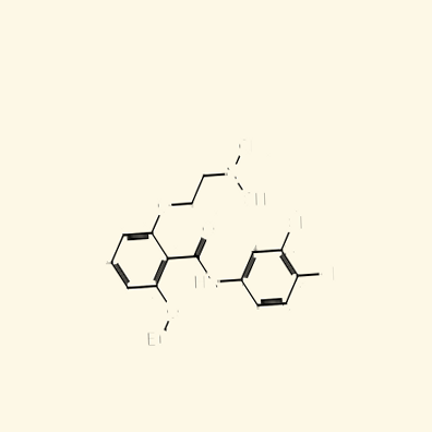 CCOc1cccc(OCCN(C)C)c1C(=O)Nc1ccc(Cl)c(C(F)(F)F)c1